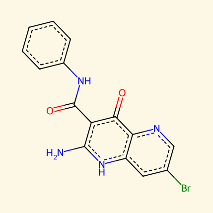 Nc1[nH]c2cc(Br)cnc2c(=O)c1C(=O)Nc1ccccc1